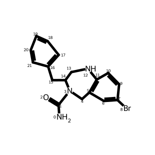 NC(=O)N1Cc2cc(Br)ccc2NCC1Cc1ccccc1